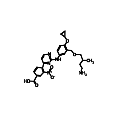 CC(CCN)COCc1cc(Nc2nccc(-c3ccc(C(=O)O)cc3[N+](=O)[O-])n2)ccc1OC1CC1